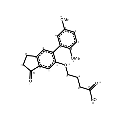 COc1ccc(OC)c(-c2cc3c(cc2OCCCC(=O)N=O)C(=O)CC3)c1